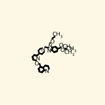 CCCOCn1c(CN2CCC(c3cccc(OCc4cccc5ncccc45)n3)CC2)nc2ccc(C(=O)OC(C)(C)C)cc21